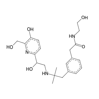 CC(C)(Cc1cccc(CC(=O)NCCO)c1)NCC(O)c1ccc(O)c(CO)n1